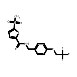 CS(=O)(=O)c1ccc(C(=O)NCc2ccc(OCC(F)(F)F)cc2)s1